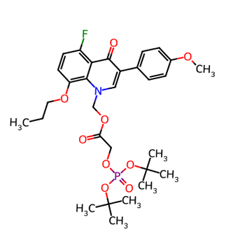 CCCOc1ccc(F)c2c(=O)c(-c3ccc(OC)cc3)cn(COC(=O)COP(=O)(OC(C)(C)C)OC(C)(C)C)c12